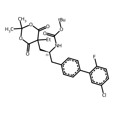 CCC1(C[C@H](Cc2ccc(-c3cc(Cl)ccc3F)cc2)NC(=O)OC(C)(C)C)C(=O)OC(C)(C)OC1=O